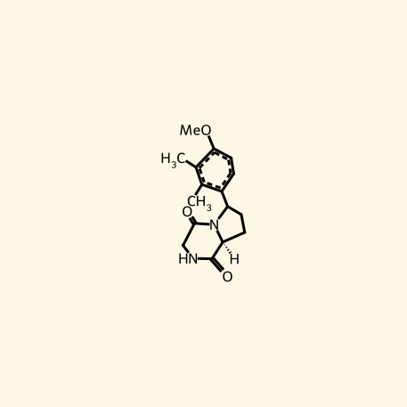 COc1ccc(C2CC[C@H]3C(=O)NCC(=O)N23)c(C)c1C